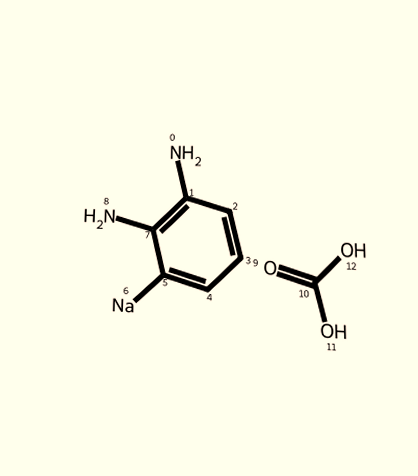 Nc1ccc[c]([Na])c1N.O=C(O)O